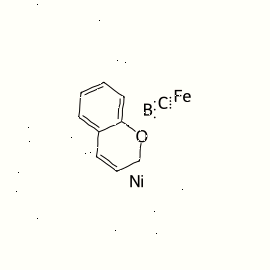 C1=Cc2ccccc2OC1.[B].[C].[Fe].[Ni]